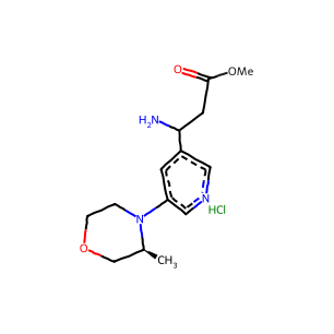 COC(=O)CC(N)c1cncc(N2CCOC[C@@H]2C)c1.Cl